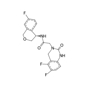 O=C(CN1Cc2c(ccc(F)c2F)NC1=O)N[C@H]1COCc2cc(F)ccc21